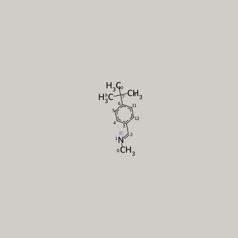 C/N=C/c1ccc(C(C)(C)C)cc1